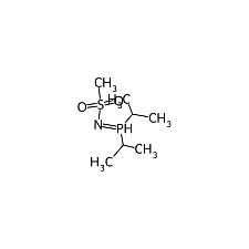 CC(C)[PH](=NS(C)(=O)=O)C(C)C